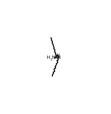 CCCCCCCCCCCCCc1nnc(CCCCCCCCCCCCC)n1CN